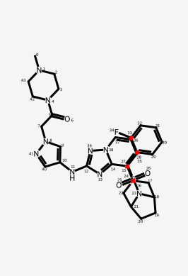 CN1CCN(C(=O)Cn2cc(Nc3nc4c(N5CC6CCC(C5)N6S(=O)(=O)Cc5ccccc5F)cccn4n3)cn2)CC1